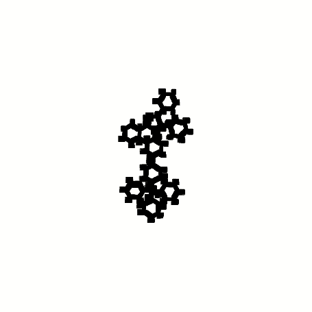 c1ccc(-c2nc3c4ccccc4c4cc(-c5ccc(S(c6ccccc6)(c6ccccc6)c6ccccc6)cc5)ccc4n3c2-c2ccccc2)cc1